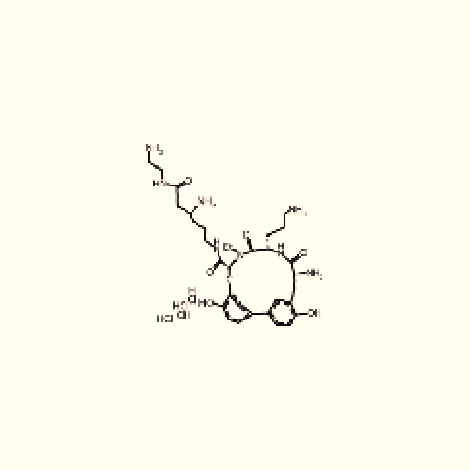 CCN1C(=O)[C@H](CCCN)NC(=O)[C@@H](N)Cc2cc(ccc2O)-c2ccc(O)c(c2)C[C@H]1C(=O)NCCC[C@H](N)CC(=O)NCCN.Cl.Cl.Cl.Cl